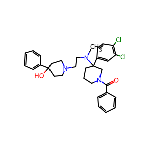 CN(CCN1CCC(O)(c2ccccc2)CC1)C1(c2ccc(Cl)c(Cl)c2)CCCN(C(=O)c2ccccc2)C1